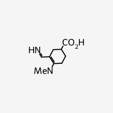 CNC1=C(C=N)CC(C(=O)O)CC1